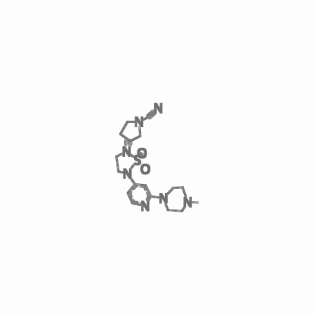 CN1CCN(c2cc(N3CCN([C@@H]4CCN(C#N)C4)S3(=O)=O)ccn2)CC1